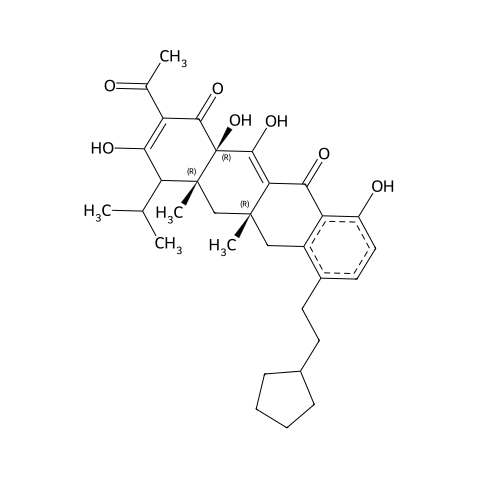 CC(=O)C1=C(O)C(C(C)C)[C@@]2(C)C[C@@]3(C)Cc4c(CCC5CCCC5)ccc(O)c4C(=O)C3=C(O)[C@@]2(O)C1=O